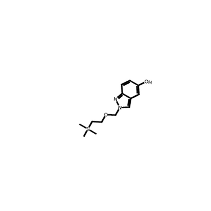 C[Si](C)(C)CCOCn1cc2cc(O)ccc2n1